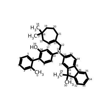 Cc1ccccc1-c1ccc(N(CC2=CCC(C)(C)CCC2)c2ccc3c(c2)C(C)(C)c2ccccc2-3)cc1O